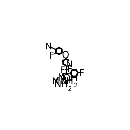 N#Cc1ccc(Oc2ccc(C(F)(F)C(O)(CN(N)/C=N\N)c3ccc(F)cc3F)nc2)cc1F